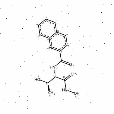 C[C@@H](O)[C@H](NC(=O)c1ccc2ccccc2n1)C(=O)NO